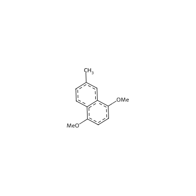 COc1ccc(OC)c2cc(C)ccc12